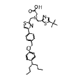 CCCC(CCC)c1ccc(OCc2ccc(-c3csc(CN(CC(=O)O)Cc4ncc(C(C)(C)C)s4)n3)cc2)cc1